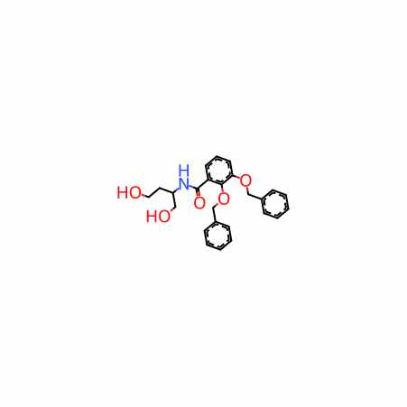 O=C(NC(CO)CCO)c1cccc(OCc2ccccc2)c1OCc1ccccc1